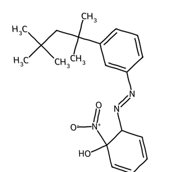 CC(C)(C)CC(C)(C)c1cccc(N=NC2C=CC=CC2(O)[N+](=O)[O-])c1